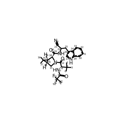 CC(C)(C)[C@H](NC(=O)C(F)(F)F)C(=O)N1C[C@H]2[C@@H]([C@H]1C(=O)NC(C#N)Cc1c[nH]c3ccccc13)C2(C)C